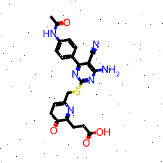 CC(=O)Nc1ccc(-c2nc(SCC3=CCC(=O)C(CCC(=O)O)=N3)nc(N)c2C#N)cc1